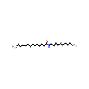 CCCCCCCCCCCCCC(=O)NCCCCCCCCCC